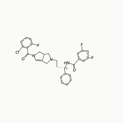 O=C(N[C@@H](CCN1CC2=CN(C(=O)c3c(F)cccc3Cl)CC2C1)c1ccccc1)c1cc(F)cc(F)c1